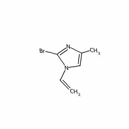 C=Cn1cc(C)nc1Br